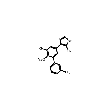 COc1c(Cl)cc(-c2nn[nH]c2C#N)cc1-c1cccc(C(F)(F)F)c1